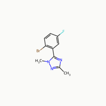 Cc1nc(-c2cc(F)ccc2Br)n(C)n1